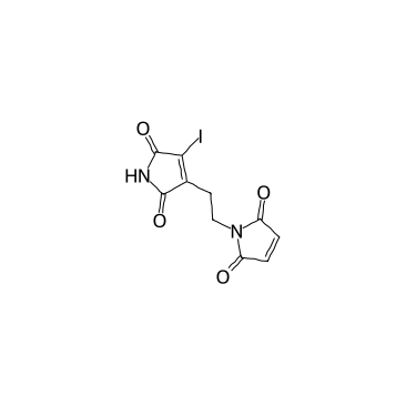 O=C1NC(=O)C(CCN2C(=O)C=CC2=O)=C1I